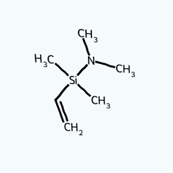 C=C[Si](C)(C)N(C)C